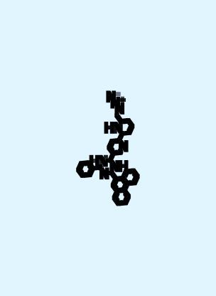 [N-]=[N+]=NCC1=CC=CC(c2ccc(C3NC(c4ccccc4)=NC(c4cc5ccccc5c5ccccc45)N3)cn2)N1